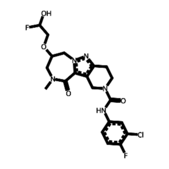 CN1CC(OCC(O)F)Cn2nc3c(c2C1=O)CN(C(=O)Nc1ccc(F)c(Cl)c1)CC3